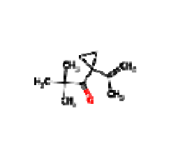 C=C(C)C1(C(=O)C(C)(C)C)CC1